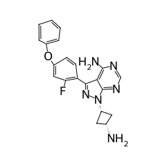 Nc1ncnc2c1c(-c1ccc(Oc3ccccc3)cc1F)nn2[C@H]1C[C@@H](N)C1